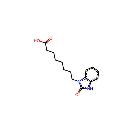 O=C(O)CCCCCCCn1c(=O)[nH]c2ccccc21